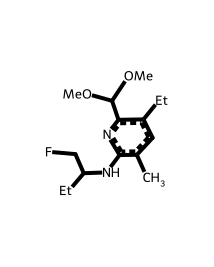 CCc1cc(C)c(NC(CC)CF)nc1C(OC)OC